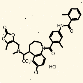 Cc1ccccc1C(=O)Nc1ccc(C(=O)N2CCCC(C(C(=O)O)N(C)Cc3oc(=O)oc3C)c3cc(Cl)ccc32)c(C)c1.Cl